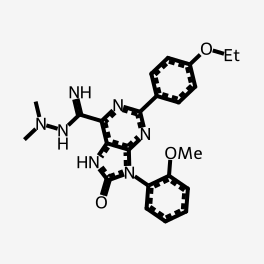 CCOc1ccc(-c2nc(C(=N)NN(C)C)c3[nH]c(=O)n(-c4ccccc4OC)c3n2)cc1